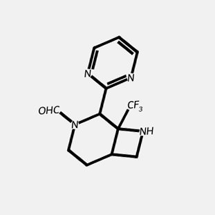 O=CN1CCC2CNC2(C(F)(F)F)C1c1ncccn1